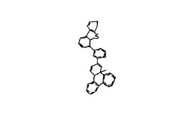 CC12C=C(c3cccc(C4C=CC=C5C6=C(CCC=C6)SC54)c3)C=CC1c1ccccc1-c1ccccc12